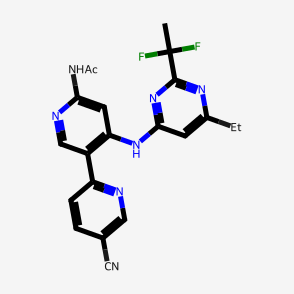 CCc1cc(Nc2cc(NC(C)=O)ncc2-c2ccc(C#N)cn2)nc(C(C)(F)F)n1